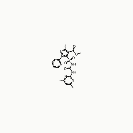 COC(=O)c1c(C)nn(-c2ccccn2)c1S(=O)(=O)NC(=O)Nc1nc(C)cc(C)n1